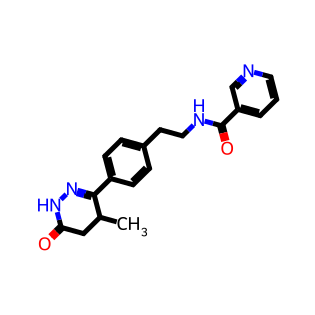 CC1CC(=O)NN=C1c1ccc(CCNC(=O)c2cccnc2)cc1